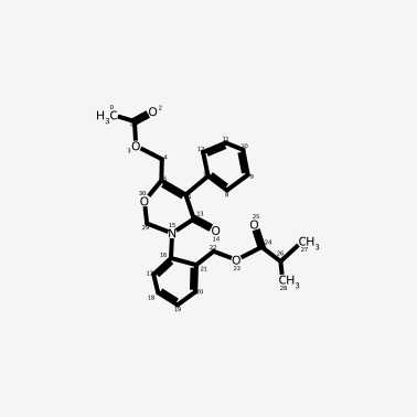 CC(=O)OCC1=C(c2ccccc2)C(=O)N(c2ccccc2COC(=O)C(C)C)CO1